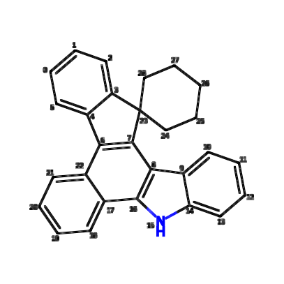 c1ccc2c(c1)-c1c(c3c4ccccc4[nH]c3c3ccccc13)C21CCCCC1